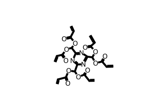 C=CC(=O)OC(OC(=O)C=C)c1nc(C(OC(=O)C=C)OC(=O)C=C)nc(C(OC(=O)C=C)OC(=O)C=C)n1